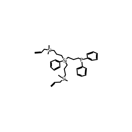 C=CC[Si](C)(C)CCC[Si](CCCP(c1ccccc1)c1ccccc1)(CCC[Si](C)(C)CC=C)c1ccccc1